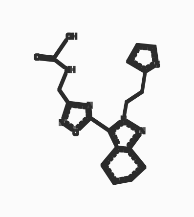 O=C(O)NCc1noc(-c2c3ccccc3nn2CCc2cccs2)n1